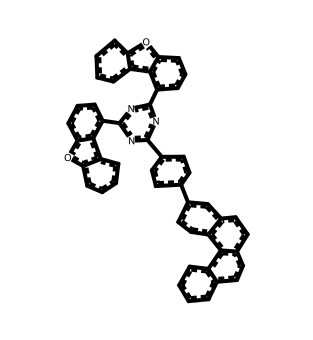 c1ccc2c(c1)ccc1ccc3cc(-c4ccc(-c5nc(-c6cccc7oc8ccccc8c67)nc(-c6cccc7oc8ccccc8c67)n5)cc4)ccc3c12